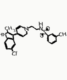 Cc1cccc(S(=O)(=O)NCCN2C=CC(c3c(C)[nH]c4ccc(Cl)cc34)=CC2)c1